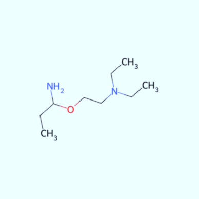 CCC(N)OCCN(CC)CC